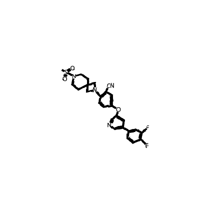 CS(=O)(=O)N1CCC2(CC1)CN(c1ccc(Oc3cncc(-c4ccc(F)c(F)c4)c3)cc1C#N)C2